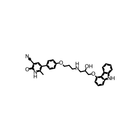 Cc1[nH]c(=O)c(C#N)cc1-c1ccc(OCCCNCC(O)COc2cccc3[nH]c4ccccc4c23)cc1